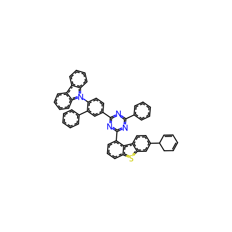 C1=CCC(c2ccc3c(c2)sc2cccc(-c4nc(-c5ccccc5)nc(-c5ccc(-n6c7ccccc7c7ccccc76)c(-c6ccccc6)c5)n4)c23)C=C1